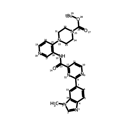 Cn1cnc2ccc(-c3nccc(C(=O)Nc4cnccc4N4CCN(C(=O)OC(C)(C)C)CC4)n3)cc21